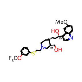 COc1ccc2nccc([C@H](O)CC[C@@H]3CCN(CCSc4cccc(OC(F)(F)F)c4)C[C@@H]3CO)c2c1